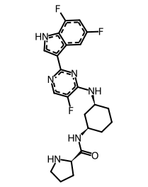 O=C(N[C@@H]1CCC[C@H](Nc2nc(-c3c[nH]c4c(F)cc(F)cc34)ncc2F)C1)[C@H]1CCCN1